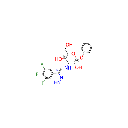 N=N/C(=C\NC1C(O)[C@@H](Oc2ccccc2)OC(CO)[C@@H]1O)c1cc(F)c(F)c(F)c1